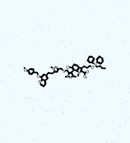 CCCC[Si](OCCCc1c(C(=O)OC)n(C)c2c(-c3c(C)nn(C)c3CSCc3cc(CCc4cc(OCc5ccc(OC)cc5)c5ncccc5c4)n(C)n3)c(Cl)ccc12)(c1ccccc1)c1ccccc1